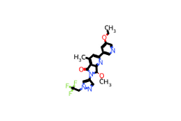 CCOc1cncc(-c2cc(C)c3c(n2)[C@H](OC)N(c2cnn(CC(F)(F)F)c2)C3=O)c1